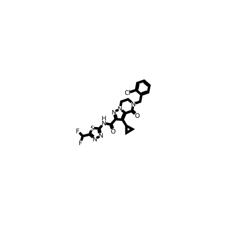 O=C(Nc1nnc(C(F)F)s1)c1nn2c(c1C1CC1)C(=O)N(Cc1ccccc1Cl)CC2